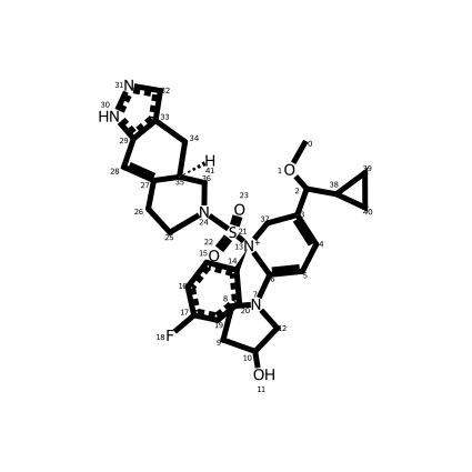 COC(C1=CC=C(N2CCC(O)C2)[N@+](c2ccc(F)cc2)(S(=O)(=O)N2CCC3=Cc4[nH]ncc4C[C@H]3C2)C1)C1CC1